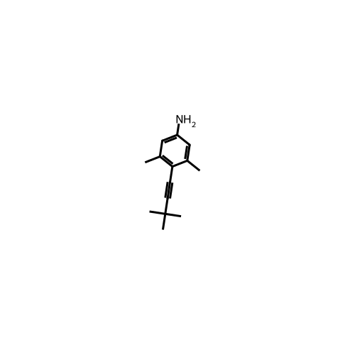 Cc1cc(N)cc(C)c1C#CC(C)(C)C